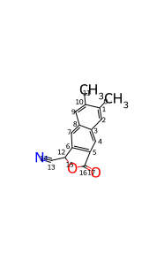 Cc1cc2cc3c(cc2cc1C)C(C#N)OC3=O